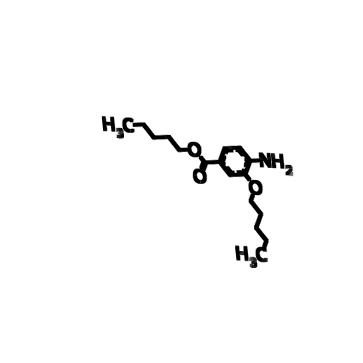 CCCCCOC(=O)c1ccc(N)c(OCCCCC)c1